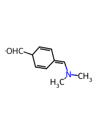 CN(C)C=C1C=CC([C]=O)C=C1